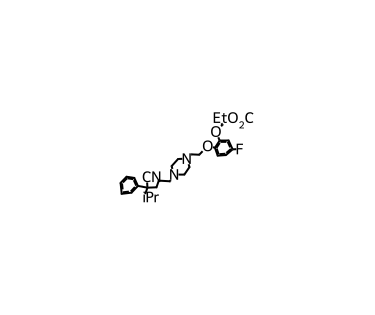 CCOC(=O)COc1cc(F)ccc1OCCN1CCN(CCCC(C#N)(c2ccccc2)C(C)C)CC1